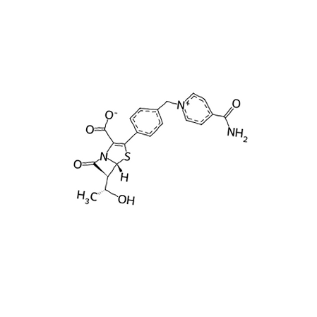 C[C@@H](O)[C@H]1C(=O)N2C(C(=O)[O-])=C(c3ccc(C[n+]4ccc(C(N)=O)cc4)cc3)S[C@H]12